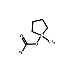 CCC(=O)O[N+]1(C)CCCC1